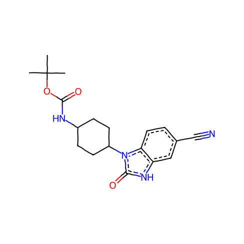 CC(C)(C)OC(=O)NC1CCC(n2c(=O)[nH]c3cc(C#N)ccc32)CC1